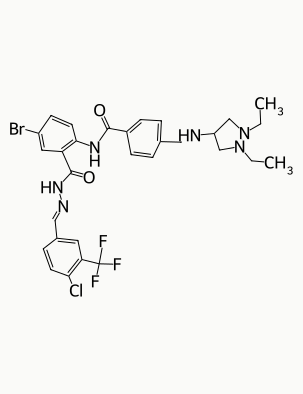 CCN1CC(NCc2ccc(C(=O)Nc3ccc(Br)cc3C(=O)NN=Cc3ccc(Cl)c(C(F)(F)F)c3)cc2)CN1CC